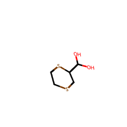 OC(O)C1CSCCS1